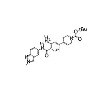 Cn1cc2cc(NC(=O)c3ccc(C4=CCN(C(=O)OC(C)(C)C)CC4)cc3N)ccc2n1